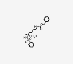 C[C@@](CCCCNC(=O)OCc1ccccc1)(NS(=O)(=O)c1ccccc1)C(=O)O